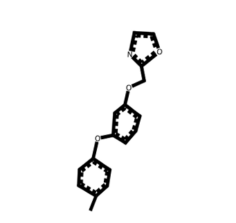 Cc1ccc(Oc2cccc(OCc3ncco3)c2)cc1